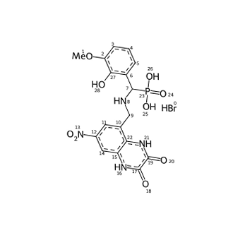 Br.COc1cccc(C(NCc2cc([N+](=O)[O-])cc3[nH]c(=O)c(=O)[nH]c23)P(=O)(O)O)c1O